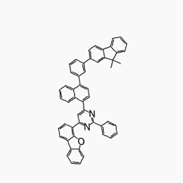 CC1(C)c2ccccc2-c2ccc(-c3cccc(-c4ccc(-c5cc(-c6cccc7c6oc6ccccc67)nc(-c6ccccc6)n5)c5ccccc45)c3)cc21